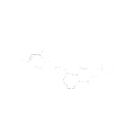 Cc1cc(C)c(CC(=O)Nc2cccc3c(=O)n(CC4(O)CCCCC4)ccc23)c(C)c1